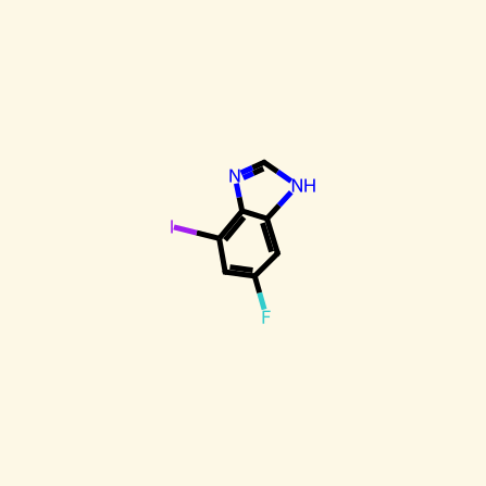 Fc1cc(I)c2nc[nH]c2c1